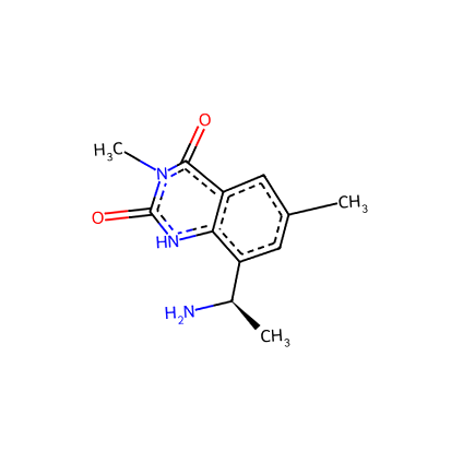 Cc1cc([C@@H](C)N)c2[nH]c(=O)n(C)c(=O)c2c1